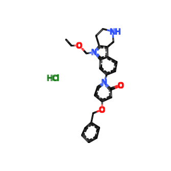 CCOCn1c2c(c3ccc(-n4ccc(OCc5ccccc5)cc4=O)cc31)CNCC2.Cl